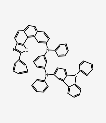 c1ccc(-c2nc3ccc4ccc5ccc(N(c6ccccc6)c6cccc(N(c7ccccc7)c7ccc8c(c7)c7ccccc7n8-c7ccccc7)c6)cc5c4c3o2)cc1